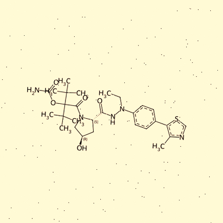 CCN(NC(=O)[C@@H]1C[C@@H](O)CN1C(=O)C(OC(N)=O)(C(C)(C)C)C(C)(C)C)c1ccc(-c2scnc2C)cc1